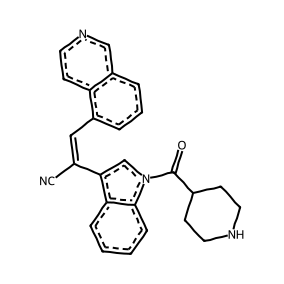 N#CC(=Cc1cccc2cnccc12)c1cn(C(=O)C2CCNCC2)c2ccccc12